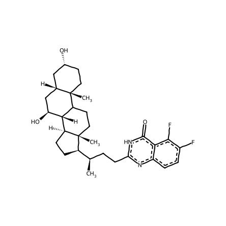 C[C@H](CCc1nc2ccc(F)c(F)c2c(=O)[nH]1)[C@H]1CC[C@H]2[C@H]3C(CC[C@]12C)[C@@]1(C)CC[C@@H](O)C[C@H]1C[C@@H]3O